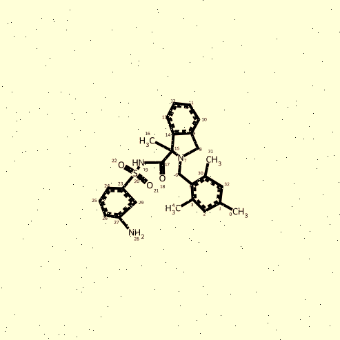 Cc1cc(C)c(CN2Cc3ccccc3C2(C)C(=O)NS(=O)(=O)c2cccc(N)c2)c(C)c1